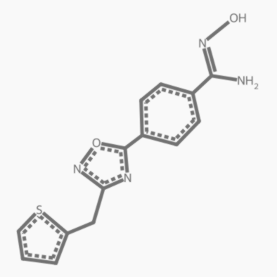 NC(=NO)c1ccc(-c2nc(Cc3cccs3)no2)cc1